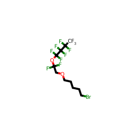 FC(F)(COCCCCCBr)OC(F)(F)C(F)(F)C(F)(F)C(F)(F)F